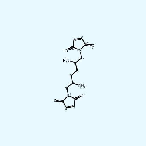 NC(CCC(N)CN1C(=O)C=CC1=O)CN1C(=O)C=CC1=O